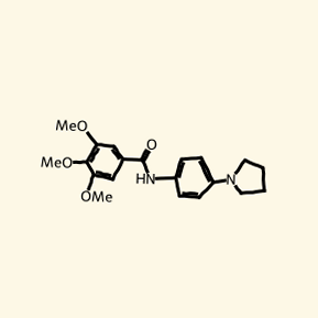 COc1cc(C(=O)Nc2ccc(N3CCCC3)cc2)cc(OC)c1OC